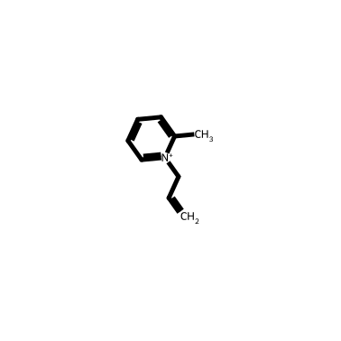 C=CC[n+]1ccccc1C